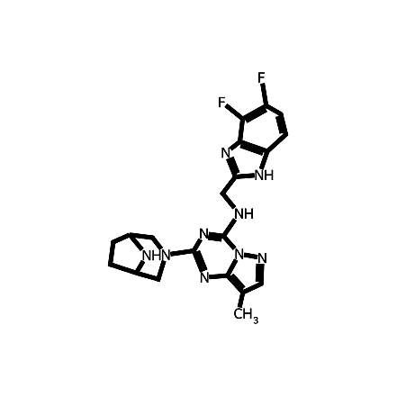 Cc1cnn2c(NCc3nc4c(F)c(F)ccc4[nH]3)nc(N3CC4CCC(C3)N4)nc12